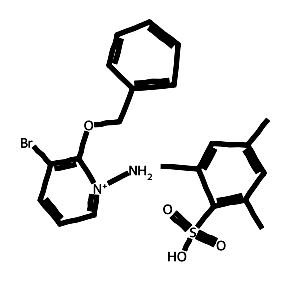 Cc1cc(C)c(S(=O)(=O)O)c(C)c1.N[n+]1cccc(Br)c1OCc1ccccc1